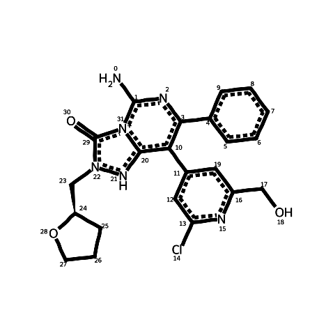 Nc1nc(-c2ccccc2)c(-c2cc(Cl)nc(CO)c2)c2[nH]n(C[C@H]3CCCO3)c(=O)[n+]12